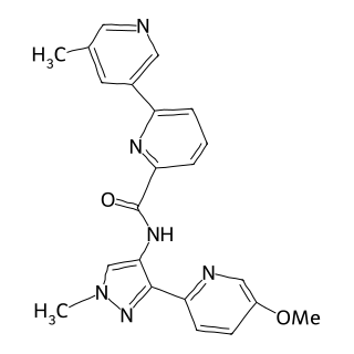 COc1ccc(-c2nn(C)cc2NC(=O)c2cccc(-c3cncc(C)c3)n2)nc1